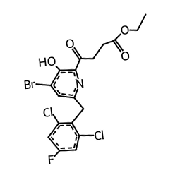 CCOC(=O)CCC(=O)c1nc(Cc2c(Cl)cc(F)cc2Cl)cc(Br)c1O